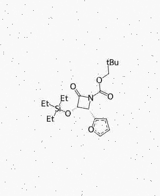 CC[Si](CC)(CC)O[C@@H]1C(=O)N(C(=O)OCC(C)(C)C)[C@@H]1c1ccco1